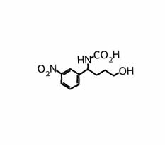 O=C(O)NC(CCCO)c1cccc([N+](=O)[O-])c1